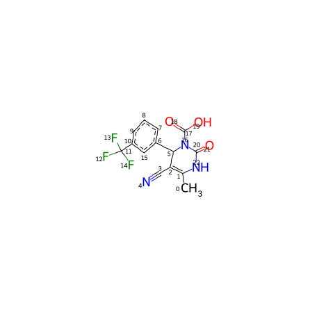 CC1=C(C#N)C(c2cccc(C(F)(F)F)c2)N(C(=O)O)C(=O)N1